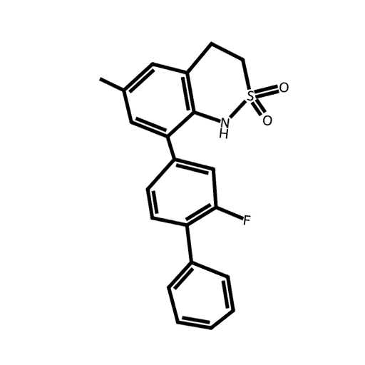 Cc1cc2c(c(-c3ccc(-c4ccccc4)c(F)c3)c1)NS(=O)(=O)CC2